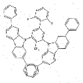 Fc1cccc(F)c1-c1cc(-n2c3cc(-c4ccccc4)ccc3c3ccc(-c4ccccc4)cc32)c(C(F)(F)F)c(-n2c3cc(-c4ccccc4)ccc3c3ccc(-c4ccccc4)cc32)c1